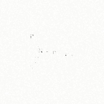 [Co].[P]#[Ni](#[P])=[S]